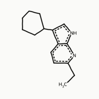 CCc1ccc2c(C3CCCCC3)c[nH]c2n1